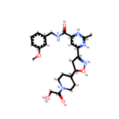 COc1cccc(CNC(=O)c2cc(C3=NOC(C4CCN(C(=O)CO)CC4)C3)nc(C)n2)c1